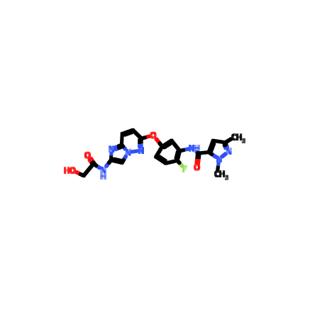 Cc1cc(C(=O)Nc2cc(Oc3ccc4nc(NC(=O)CO)cn4n3)ccc2F)n(C)n1